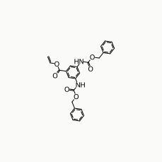 C=COC(=O)c1cc(NC(=O)OCc2ccccc2)cc(NC(=O)OCc2ccccc2)c1